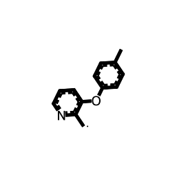 [CH2]c1ncccc1Oc1ccc(C)cc1